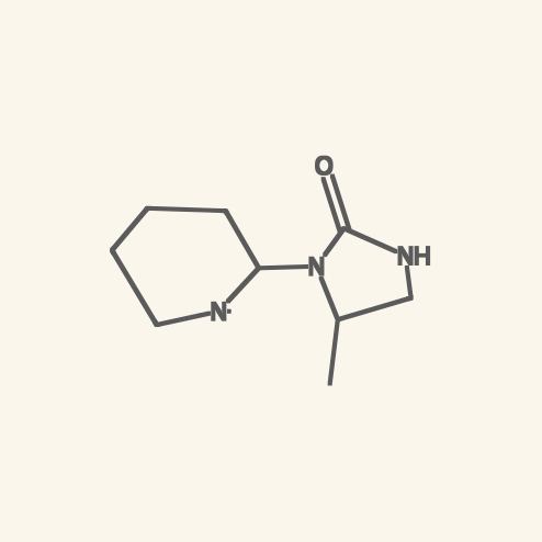 CC1CNC(=O)N1C1CCCC[N]1